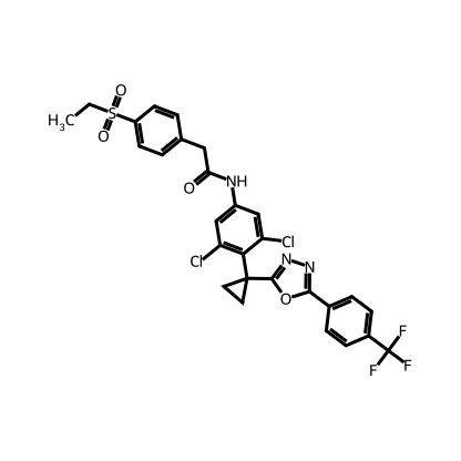 CCS(=O)(=O)c1ccc(CC(=O)Nc2cc(Cl)c(C3(c4nnc(-c5ccc(C(F)(F)F)cc5)o4)CC3)c(Cl)c2)cc1